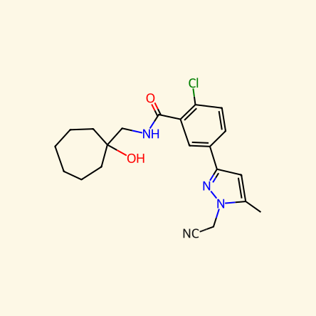 Cc1cc(-c2ccc(Cl)c(C(=O)NCC3(O)CCCCCC3)c2)nn1CC#N